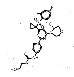 C[C@H]1COCCN1c1cc(C2(S(=O)(=O)c3ccc(F)cc3F)CC2)nc(-c2ccc(NC(=O)NCCO)cc2)n1